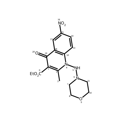 CCOC(=O)c1c(C)n(NN2CCOCC2)c2ccc([N+](=O)[O-])cc2c1=O